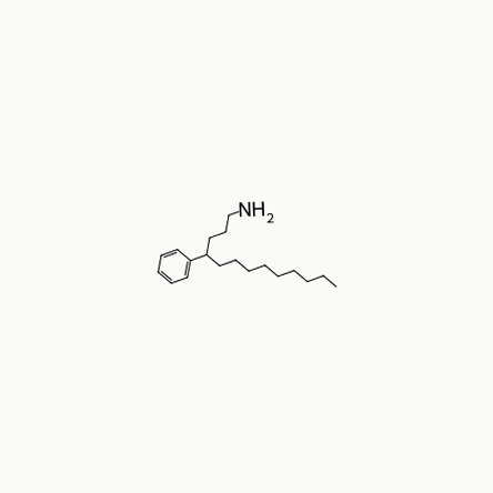 CCCCCCCCCC(CCCN)c1ccccc1